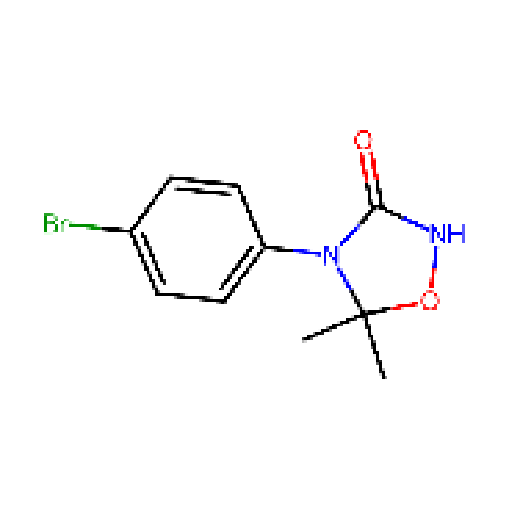 CC1(C)ONC(=O)N1c1ccc(Br)cc1